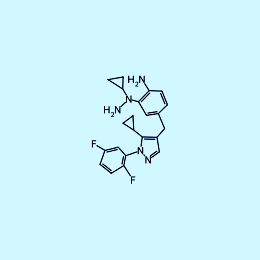 Nc1ccc(Cc2cnn(-c3cc(F)ccc3F)c2C2CC2)cc1N(N)C1CC1